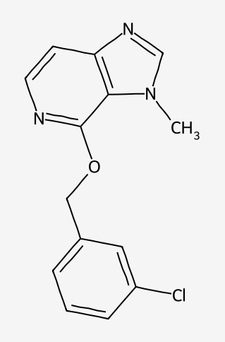 Cn1cnc2ccnc(OCc3cccc(Cl)c3)c21